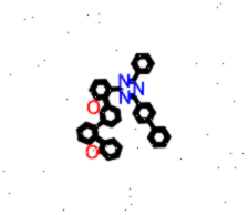 c1ccc(-c2ccc(-c3nc(-c4ccccc4)nc(-c4cccc5oc6c(-c7cccc8oc9ccccc9c78)cccc6c45)n3)cc2)cc1